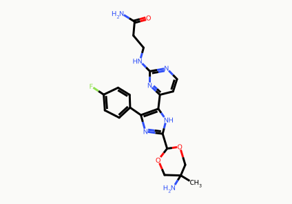 CC1(N)COC(c2nc(-c3ccc(F)cc3)c(-c3ccnc(NCCC(N)=O)n3)[nH]2)OC1